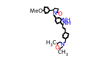 COc1ccc(C2CCC(=O)N2C=c2ccc3c(c2)NNC=3C=Cc2ccc(CN3C[C@@H](C)O[C@@H](C)C3)cc2)cc1